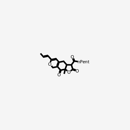 C/C=C/C1=CC2=C(CO1)C(=O)C1(C)OC(=O)C(C(=O)CCCCC)C1C2